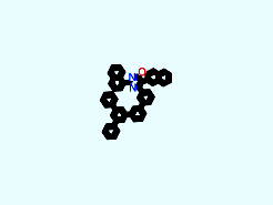 c1ccc(-c2cc(-c3ccccc3)cc(-c3cccc(-c4cccc(-c5nc(-c6cccc7ccccc67)nc6oc7cc8ccccc8cc7c56)c4)c3)c2)cc1